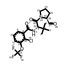 CC(C)(C)[C@H](NC(=O)c1cccc(OC(F)(F)F)c1Cl)C(=O)N1CCC[C@H]1C=O